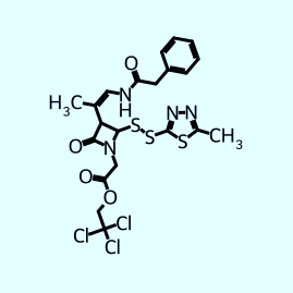 CC(=CNC(=O)Cc1ccccc1)C1C(=O)N(CC(=O)OCC(Cl)(Cl)Cl)C1SSc1nnc(C)s1